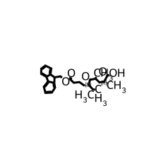 CC(C[C@@H](C)C(=O)O)C(=O)[C@@H](CCCC(=O)OCC1c2ccccc2-c2ccccc21)C(C)C